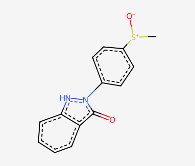 C[S+]([O-])c1ccc(-n2[nH]c3ccccc3c2=O)cc1